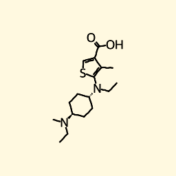 CCN(C)[C@H]1CC[C@H](N(CC)c2scc(C(=O)O)c2C)CC1